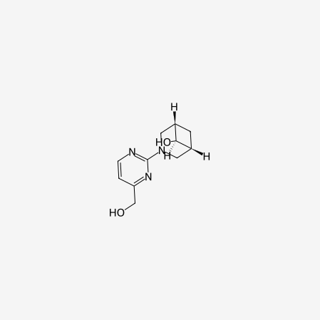 OCc1ccnc(N2C[C@H]3C[C@@H](C2)[C@@H]3O)n1